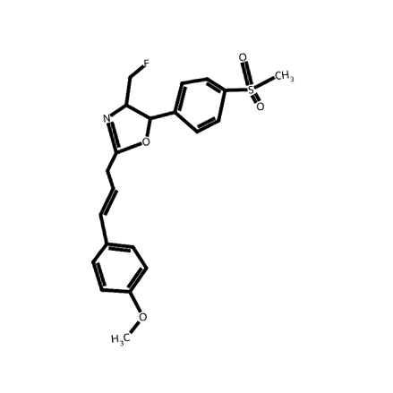 COc1ccc(/C=C/CC2=NC(CF)C(c3ccc(S(C)(=O)=O)cc3)O2)cc1